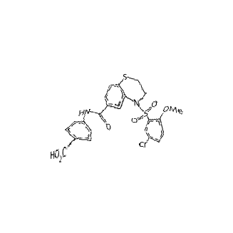 COc1ccc(Cl)cc1S(=O)(=O)N1CCSc2ccc(C(=O)Nc3ccc(C(=O)O)cc3)cc21